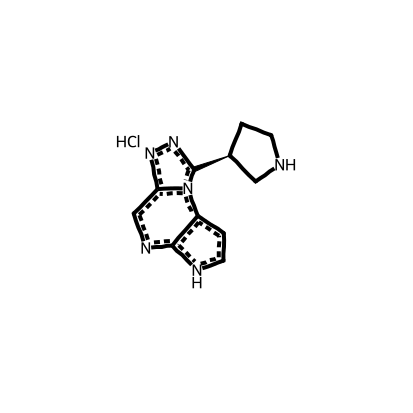 Cl.c1cc2c(ncc3nnc([C@H]4CCNC4)n32)[nH]1